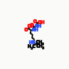 CC(C)(C)NCCCC[C@H](NC(=O)NC(=O)O)C(=O)O